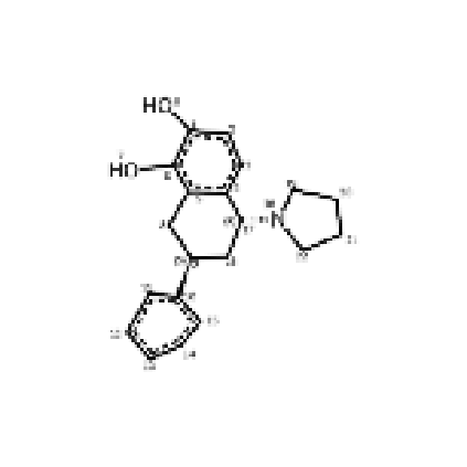 Oc1ccc2c(c1O)C[C@H](c1ccccc1)C[C@H]2N1CCCC1